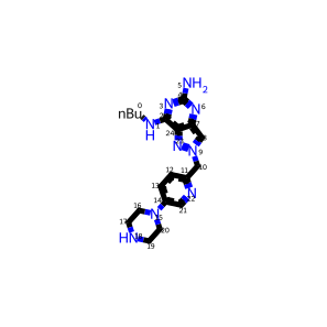 CCCCNc1nc(N)nc2cn(Cc3ccc(N4CCNCC4)cn3)nc12